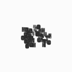 O=c1[nH]c(=O)n([C@@H]2O[C@@]3(COP(=O)(O)OP(=O)(O)OP(=O)(O)O)CO[C@@H]2[C@@H]3F)cc1F